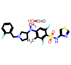 Cc1c(N(C)C2CCN(Cc3ccccc3F)C2)cc(F)c(S(=O)(=O)Nc2cscn2)c1F.O=CO